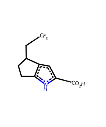 O=C(O)c1cc2c([nH]1)CCC2CC(F)(F)F